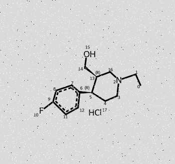 CCN1CC[C@@H](c2ccc(F)cc2)[C@@H](CO)C1.Cl